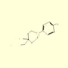 CCOC(=O)CC1(O)CCN(c2ccc(Br)cc2)CC1